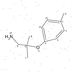 Cc1ccc(OC(C)(C)CN)cc1